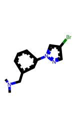 CN(C)Cc1cccc(-n2cc(Br)cn2)c1